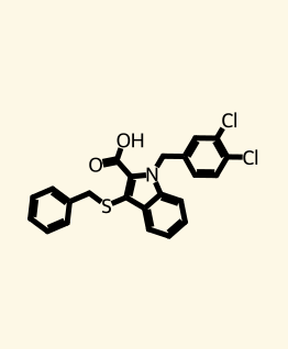 O=C(O)c1c(SCc2ccccc2)c2ccccc2n1Cc1ccc(Cl)c(Cl)c1